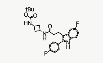 CC(C)(C)OC(=O)N[C@H]1C[C@H](NC(=O)CCc2c(-c3ccc(F)cc3)[nH]c3ccc(F)cc23)C1